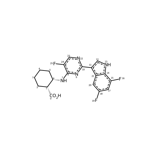 O=C(O)[C@@H]1CCCC[C@@H]1Nc1nc(-c2c[nH]c3c(F)cc(F)cc23)ncc1F